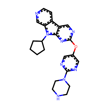 c1cc2c3cnc(Oc4cnc(N5CCNCC5)nc4)nc3n(C3CCCC3)c2cn1